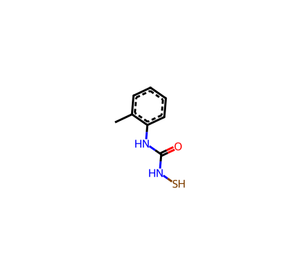 Cc1ccccc1NC(=O)NS